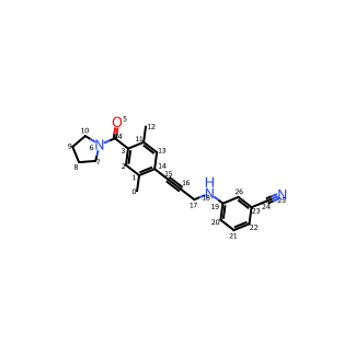 Cc1cc(C(=O)N2CCCC2)c(C)cc1C#CCNc1cccc(C#N)c1